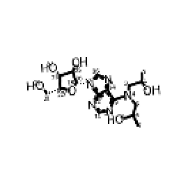 CC(O)CN(CC(C)O)c1ncnc2c1ncn2[C@@H]1O[C@H](CO)[C@H](O)C1O